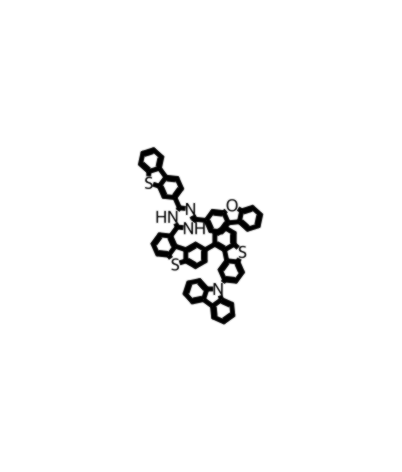 c1ccc2c(c1)oc1cc(C3=NC(c4ccc5c(c4)sc4ccccc45)NC(c4cccc5sc6ccc(-c7cccc8sc9ccc(-n%10c%11ccccc%11c%11ccccc%11%10)cc9c78)cc6c45)N3)ccc12